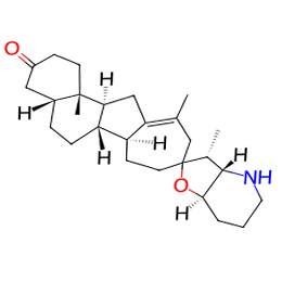 CC1=C2C[C@H]3[C@@H](CC[C@@H]4CC(=O)CC[C@@]43C)[C@@H]2CCC2(C1)O[C@@H]1CCCN[C@H]1[C@H]2C